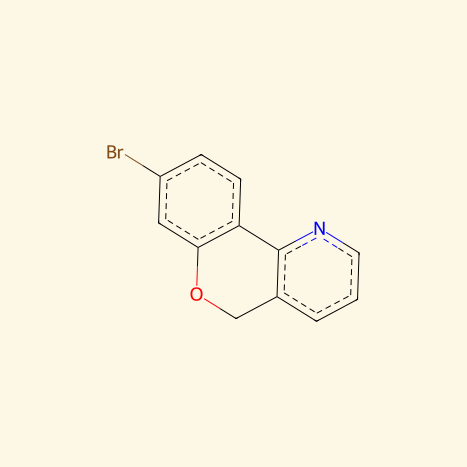 Brc1ccc2c(c1)OCc1cccnc1-2